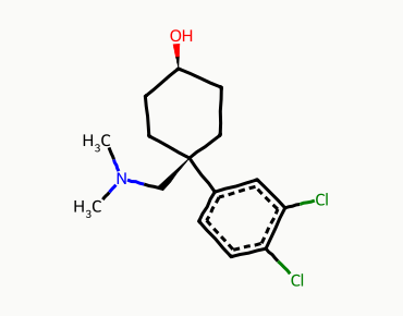 CN(C)C[C@]1(c2ccc(Cl)c(Cl)c2)CC[C@H](O)CC1